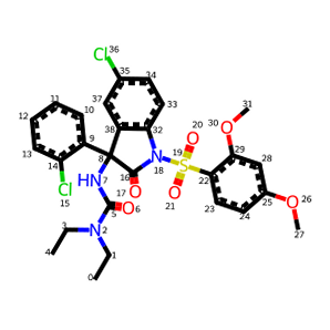 CCN(CC)C(=O)NC1(c2ccccc2Cl)C(=O)N(S(=O)(=O)c2ccc(OC)cc2OC)c2ccc(Cl)cc21